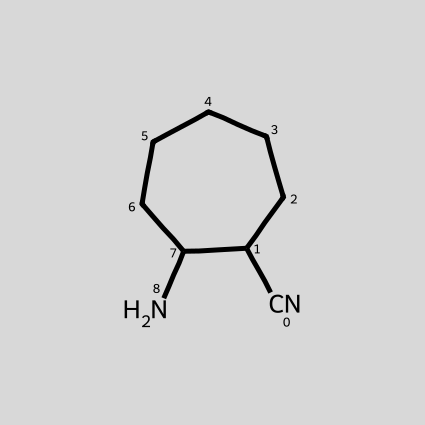 N#CC1CCCCCC1N